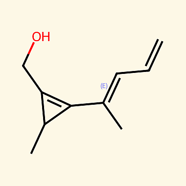 C=C/C=C(\C)C1=C(CO)C1C